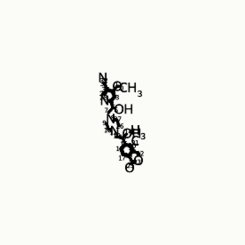 COc1cc(C(O)CN2CCN(CC(O)c3ccc4c(c3C)COC4=O)CC2)ncc1C#N